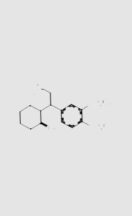 COc1ccc(C(C[N+](=O)[O-])C2CCCCC2=O)cc1OC